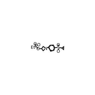 CCS(=O)(=O)OC1CN(c2ccc(S(=O)(=O)C3CC3)cc2)C1